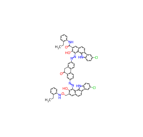 CCc1ccccc1NOCc1cc2ccc3c4cc(Cl)ccc4[nH]c3c2c(N=Nc2ccc3c(c2)C(=O)Cc2cc(N=Nc4c(O)c(C(=O)Nc5ccccc5CC)cc5ccc6c7cc(Cl)ccc7[nH]c6c45)ccc2-3)c1O